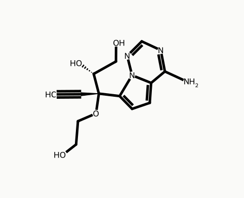 C#C[C@](OCCO)(c1ccc2c(N)ncnn12)[C@H](O)CO